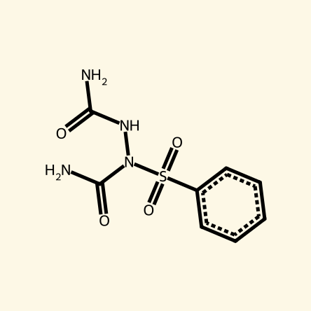 NC(=O)NN(C(N)=O)S(=O)(=O)c1ccccc1